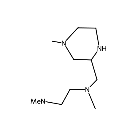 CNCCN(C)CC1CN(C)CCN1